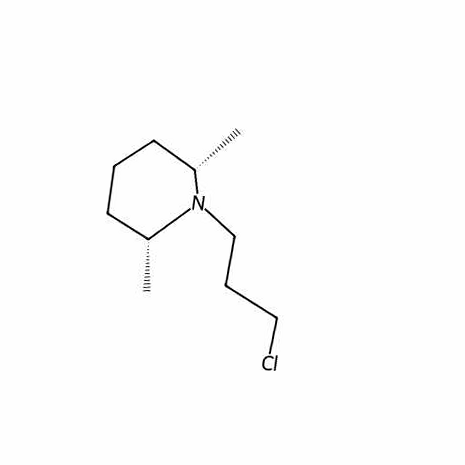 C[C@@H]1CCC[C@H](C)N1CCCCl